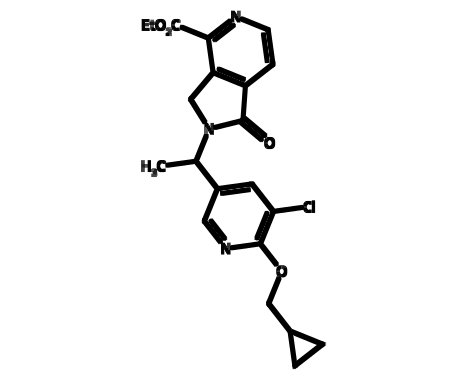 CCOC(=O)c1nccc2c1CN(C(C)c1cnc(OCC3CC3)c(Cl)c1)C2=O